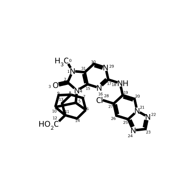 Cn1c(=O)n(C2C3CC4CC2C(C(=O)O)(C4)C3)c2nc(Nc3cn4ncnc4cc3Cl)ncc21